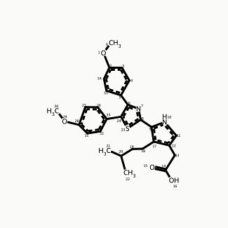 COc1ccc(-c2nc(-c3[nH]cc(CC(=O)O)c3CCC(C)C)sc2-c2ccc(OC)cc2)cc1